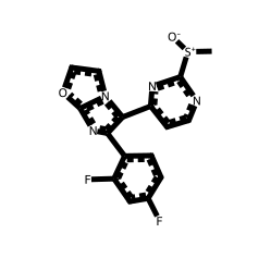 C[S+]([O-])c1nccc(-c2c(-c3ccc(F)cc3F)nc3occn23)n1